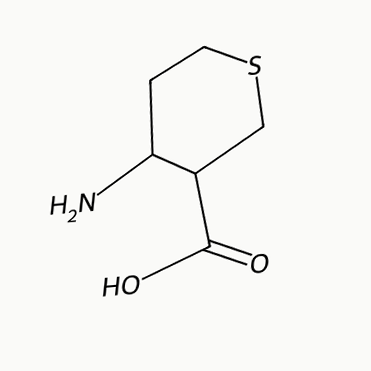 NC1CCSCC1C(=O)O